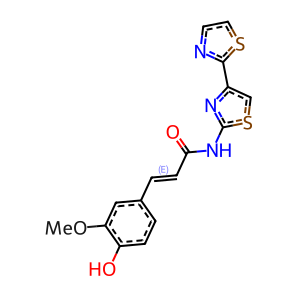 COc1cc(/C=C/C(=O)Nc2nc(-c3nccs3)cs2)ccc1O